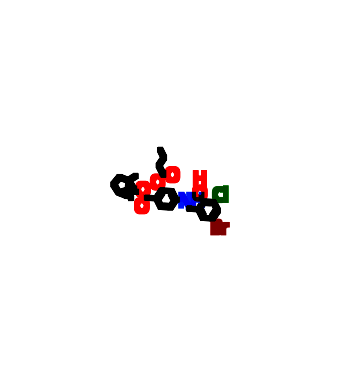 CCCC(=O)Oc1cc(NCc2cc(Br)cc(Cl)c2O)ccc1C(=O)OC1CC2CCC1(C)C2(C)C